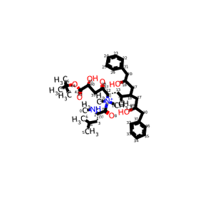 CN[C@@H](CC(C)C)C(=O)[N+](C)(C)[C@@H](CC(C)C(CC(O)Cc1ccccc1)CC(O)Cc1ccccc1)C(=O)CC(O)C(=O)OC(C)(C)C